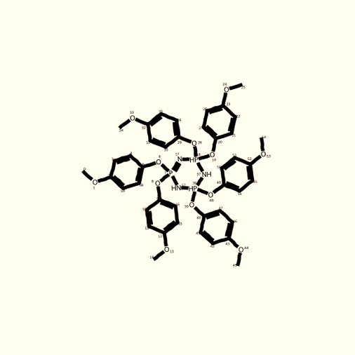 COc1ccc(OP2(Oc3ccc(OC)cc3)=N[PH](Oc3ccc(OC)cc3)(Oc3ccc(OC)cc3)N[PH](Oc3ccc(OC)cc3)(Oc3ccc(OC)cc3)N2)cc1